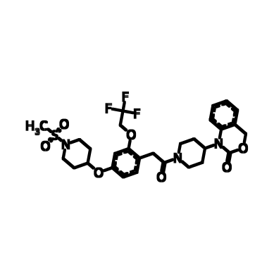 CS(=O)(=O)N1CCC(Oc2ccc(CC(=O)N3CCC(N4C(=O)OCc5ccccc54)CC3)c(OCC(F)(F)F)c2)CC1